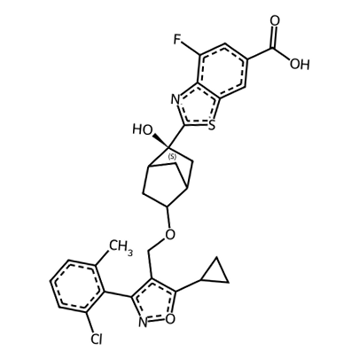 Cc1cccc(Cl)c1-c1noc(C2CC2)c1COC1CC2CC1C[C@@]2(O)c1nc2c(F)cc(C(=O)O)cc2s1